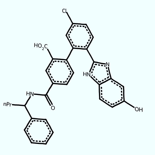 CCCC(NC(=O)c1ccc(-c2cc(Cl)ccc2-c2nc3cc(O)ccc3[nH]2)c(C(=O)O)c1)c1ccccc1